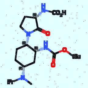 CC(C)N(C)[C@@H]1CC[C@H](N2CC[C@H](NC(=O)O)C2=O)[C@H](NC(=O)OC(C)(C)C)C1